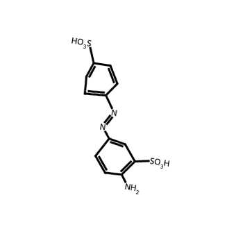 Nc1ccc(N=Nc2ccc(S(=O)(=O)O)cc2)cc1S(=O)(=O)O